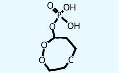 O=P(O)(O)OC1CCCCCOO1